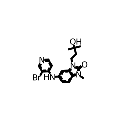 Cn1c(=O)n(CCC(C)(C)O)c2cc(Nc3ccncc3Br)ccc21